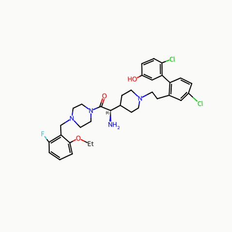 CCOc1cccc(F)c1CN1CCN(C(=O)[C@H](N)C2CCN(CCc3cc(Cl)ccc3-c3cc(O)ccc3Cl)CC2)CC1